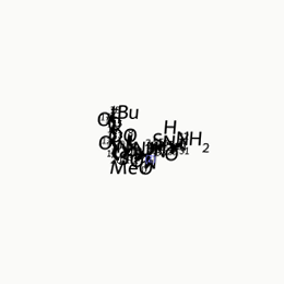 CO/N=C(\C(=O)N[C@@H]1C(=O)N2C(C(=O)OCOC(=O)C(C)(C)C)=CCS[C@H]12)c1csc(NC(=O)[C@H](C)N)n1